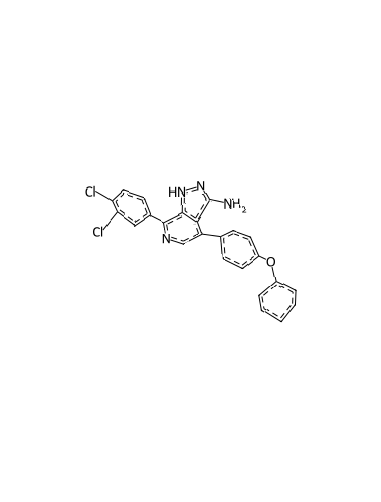 Nc1n[nH]c2c(-c3ccc(Cl)c(Cl)c3)ncc(-c3ccc(Oc4ccccc4)cc3)c12